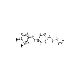 FCC/C=C/C1CCC(CCc2ccc(F)c(F)c2)CC1